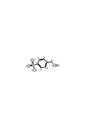 O=S(=O)(Cl)c1ccc(CO)cc1